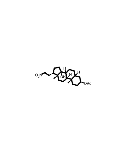 CC(=O)O[C@H]1CC[C@@]2(C)[C@H](CC[C@@H]3[C@@H]2CC[C@]2(C)[C@@H](CC[N+](=O)[O-])CC[C@]32O)C1